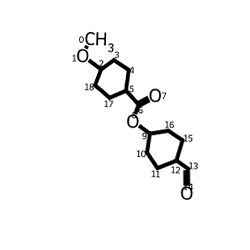 COC1CCC(C(=O)OC2CCC(C=O)CC2)CC1